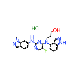 Cl.Cn1ncc2ccc(Nc3ncc(F)c(N(CCCO)c4cccc5[nH]ncc45)n3)cc21